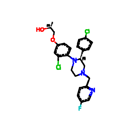 C[C@@H](O)COc1ccc(N2CCN(Cc3ccc(F)cn3)C[C@H]2c2ccc(Cl)cc2)c(Cl)c1